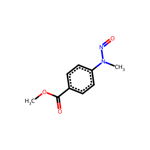 COC(=O)c1ccc(N(C)N=O)cc1